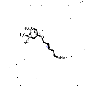 CCCCCCCCCCC/C=C/CO[C@H](CC(=O)O)C[N+](C)(C)C